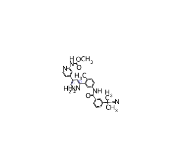 COC(=O)Nc1cc(C(/C=C(\N)c2cc(NC(=O)c3cccc(C(C)(C)C#N)c3)ccc2C)=C/N)ccn1